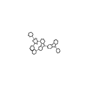 c1ccc(-c2ccc3c(c2)c2c(-c4nc(-c5ccccc5)nc(-c5ccccc5)n4)cccc2n3-c2ccc3c(c2)c2ccccc2n3-c2ccccc2)cc1